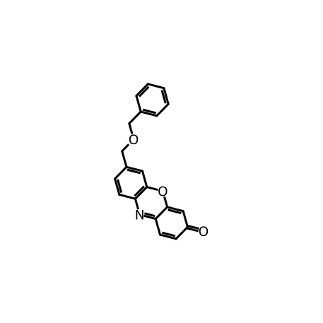 O=c1ccc2nc3ccc(COCc4ccccc4)cc3oc-2c1